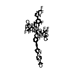 COC(=O)N[C@H](C(=O)N[C@@H](Cc1ccc(C#Cc2ccc(N3CCN(C4COC4)CC3)nc2)cc1)[C@@H](O)CN(Cc1c(F)cc(-c2ccn(CC(F)F)n2)cc1F)NC(=O)[C@@H](NC(=O)OC)C(C)(C)C(F)(F)F)C(C)(C)C(F)(F)F